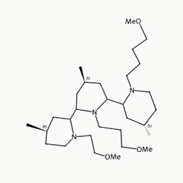 COCCCCN1CC[C@H](C)CC1C1C[C@H](C)CC(C2C[C@H](C)CCN2CCOC)N1CCCOC